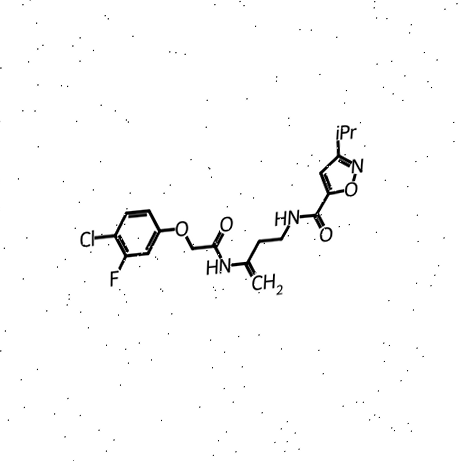 C=C(CCNC(=O)c1cc(C(C)C)no1)NC(=O)COc1ccc(Cl)c(F)c1